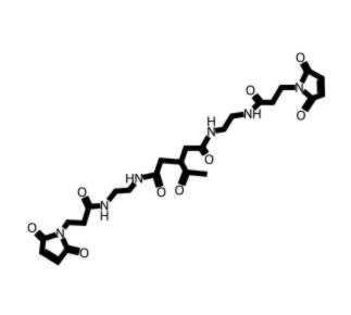 CC(=O)C(CC(=O)NCCNC(=O)CCN1C(=O)C=CC1=O)CC(=O)NCCNC(=O)CCN1C(=O)C=CC1=O